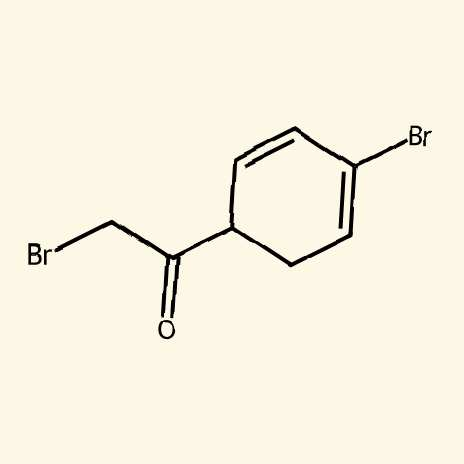 O=C(CBr)C1C=CC(Br)=CC1